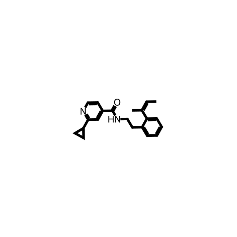 C/C=C(/C)c1ccccc1CCNC(=O)c1ccnc(C2CC2)c1